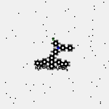 CC1(C)c2ccccc2-c2ccc(-c3c4ccccc4c(-c4ccc5c(c4)C(C)(C)c4ccccc4-5)c4cc(-c5ccc(N(c6ccc(F)cc6)c6ccc(-c7ccccc7)cc6)cc5)ccc34)cc21